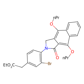 CCCOc1c2c(c(OCCC)c3ccccc13)C(=O)N(c1ccc(CC(=O)OCC)cc1Br)C2